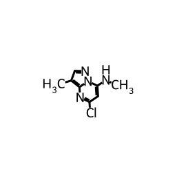 CNc1cc(Cl)nc2c(C)cnn12